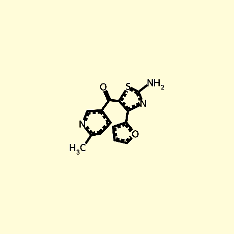 Cc1ccc(C(=O)c2sc(N)nc2-c2ccco2)cn1